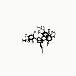 Oc1c(F)cc(F)c(C23CC4(C#CI)CC(c5c(F)cc(F)c(O)c5F)(C2)C(c2c(F)cc(I)c(O)c2F)(C4)C3)c1F